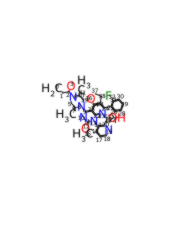 C=CC(=O)N1C[C@H](C)N(c2nc(=O)n(-c3c(C)ccnc3C(C)C)c3nc(-c4c(O)cccc4F)c4c(c23)OCC4)C[C@H]1C